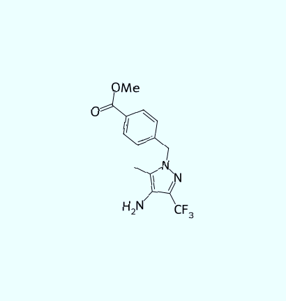 COC(=O)c1ccc(Cn2nc(C(F)(F)F)c(N)c2C)cc1